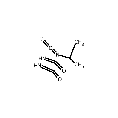 CC(C)N=C=O.N=C=O.N=C=O